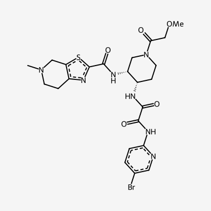 COCC(=O)N1CC[C@H](NC(=O)C(=O)Nc2ccc(Br)cn2)[C@H](NC(=O)c2nc3c(s2)CN(C)CC3)C1